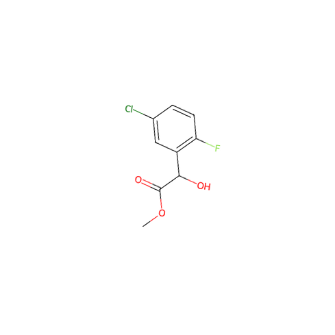 COC(=O)C(O)c1cc(Cl)ccc1F